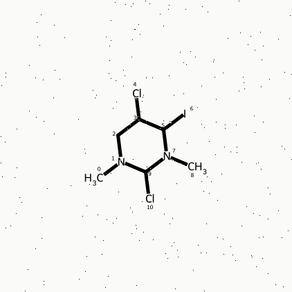 CN1CC(Cl)C(I)N(C)C1Cl